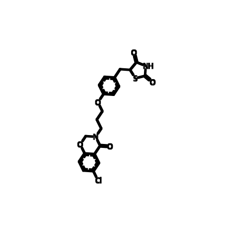 O=C1NC(=O)C(Cc2ccc(OCCCN3COc4ccc(Cl)cc4C3=O)cc2)S1